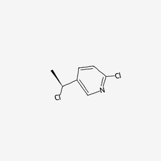 C[C@H](Cl)c1ccc(Cl)nc1